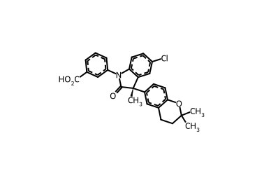 CC1(C)CCc2cc([C@]3(C)C(=O)N(c4cccc(C(=O)O)c4)c4ccc(Cl)cc43)ccc2O1